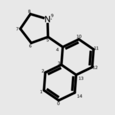 c1ccc2c(C3CCC[N]3)cccc2c1